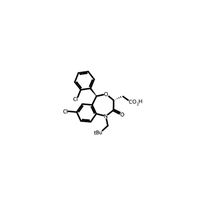 CC(C)(C)CN1C(=O)[C@@H](CC(=O)O)O[C@H](c2ccccc2Cl)c2cc(Cl)ccc21